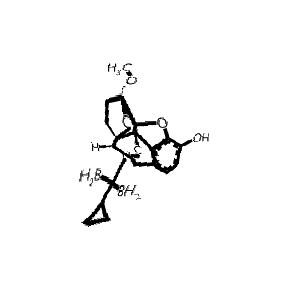 BC(B)(C1CC1)N1CC[C@]23c4c5ccc(O)c4OC2[C@]2(OC)CC[C@]3(CC2)[C@H]1C5